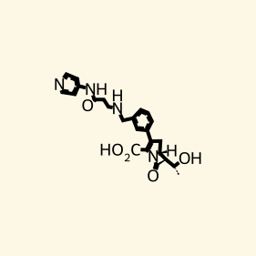 C[C@@H](O)[C@H]1C(=O)N2C(C(=O)O)=C(c3cccc(CNCCC(=O)Nc4ccncc4)c3)C[C@H]12